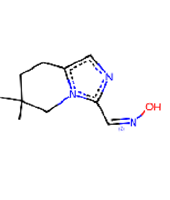 CC1(C)CCc2cnc(/C=N\O)n2C1